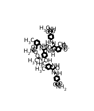 CC(=O)Nc1cc2c(cc1O)NC(=O)C2=NNc1ccc(C)cc1CS(N)(=O)=O.CNS(=O)(=O)c1ccc(NN=C2C(=O)Nc3ccc([N+](=O)[O-])c(C)c32)cc1.Cc1cc2c(cc1C)C(=NNc1ccc(S(N)(=O)=O)cc1)C(=O)N2